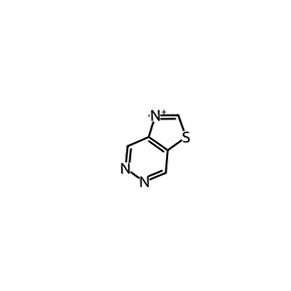 C1=[N+]c2cnncc2S1